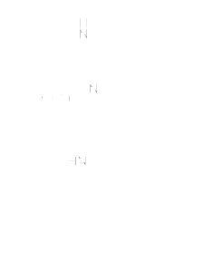 Cc1ccccc1CNC(COCC(C)C)CN1CCNCC1